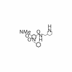 CNC(=O)c1cc(C(=O)NCCC2CCCNC2)cn(Cc2ccccc2)c1=O